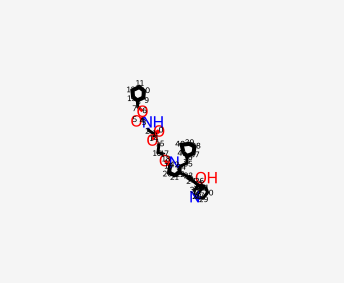 O=C(CNC(=O)OCc1ccccc1)OCCCOc1ccc(C#CC2(O)CN3CCC2CC3)c(Cc2ccccc2)n1